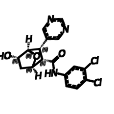 O=C(Nc1ccc(Cl)c(Cl)c1)[C@H]1[C@@H](c2cncnc2)[C@H]2O[C@@H]1C[C@@H]2O